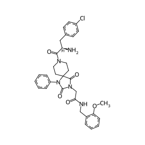 COc1ccccc1CNC(=O)CN1C(=O)N(c2ccccc2)C2(CCN(C(=O)[C@H](N)Cc3ccc(Cl)cc3)CC2)C1=O